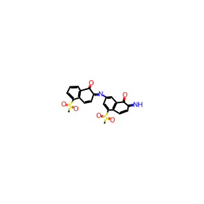 CS(=O)(=O)c1cc(/N=C2\C=Cc3c(cccc3S(C)(=O)=O)C2=O)cc2c1C=CC(=N)C2=O